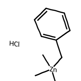 Cl.[CH3][Zn]([CH3])([CH3])[CH2]c1ccccc1